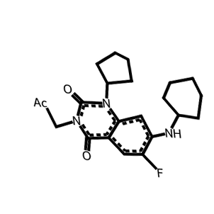 CC(=O)Cn1c(=O)c2cc(F)c(NC3CCCCC3)cc2n(C2CCCC2)c1=O